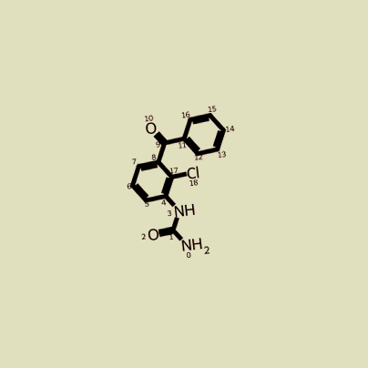 NC(=O)Nc1cccc(C(=O)c2ccccc2)c1Cl